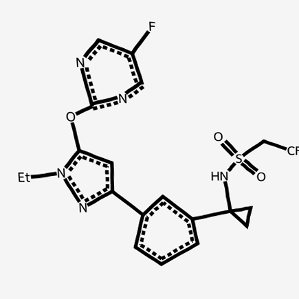 CCn1nc(-c2cccc(C3(NS(=O)(=O)CC(F)(F)F)CC3)c2)cc1Oc1ncc(F)cn1